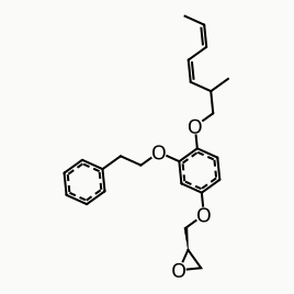 C/C=C\C=C/C(C)COc1ccc(OC[C@H]2CO2)cc1OCCc1ccccc1